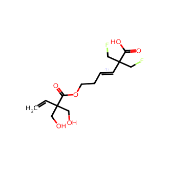 C=CC(CO)(CO)C(=O)OCC/C=C/C(CF)(CF)C(=O)O